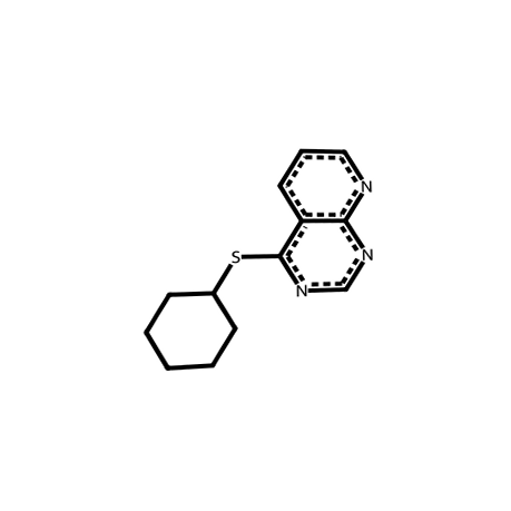 c1cnc2ncnc(SC3CCCCC3)c2c1